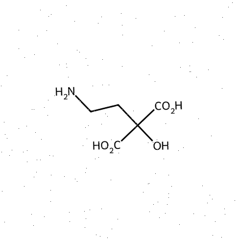 NCCC(O)(C(=O)O)C(=O)O